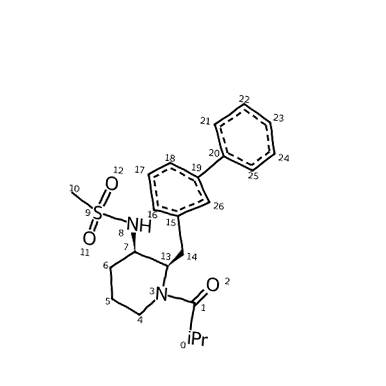 CC(C)C(=O)N1CCC[C@@H](NS(C)(=O)=O)[C@H]1Cc1cccc(-c2ccccc2)c1